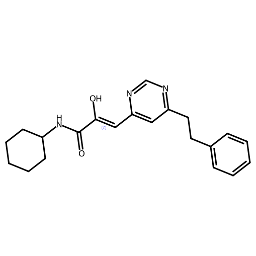 O=C(NC1CCCCC1)/C(O)=C/c1cc(CCc2ccccc2)ncn1